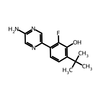 CC(C)(C)c1ccc(-c2cnc(N)cn2)c(F)c1O